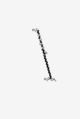 CCCCOCCOCCOCCOCCCC(=O)OCCCCCCCCCCCCCCCC(C)C